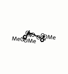 COC(=O)c1c(C)cccc1COCCCOCc1nc(-c2ccc(OC)c(OC)c2)oc1C